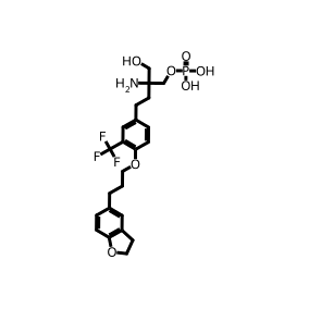 NC(CO)(CCc1ccc(OCCCc2ccc3c(c2)CCO3)c(C(F)(F)F)c1)COP(=O)(O)O